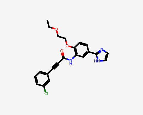 CCOCCOc1ccc(-c2ncc[nH]2)cc1NC(=O)C#Cc1cccc(Cl)c1